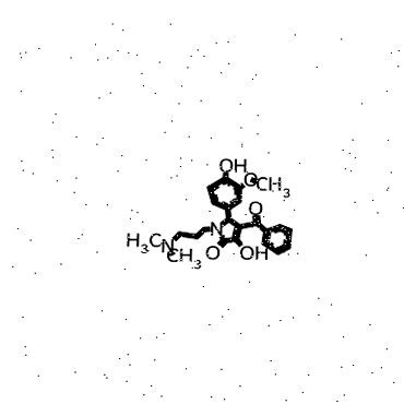 COc1cc(C2C(C(=O)c3ccccc3)=C(O)C(=O)N2CCCN(C)C)ccc1O